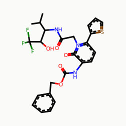 CC(C)C(NC(=O)Cn1c(-c2cccs2)ccc(NC(=O)OCc2ccccc2)c1=O)C(O)C(F)(F)F